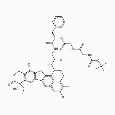 CC[C@@]1(O)C(=O)OCc2c1cc1n(c2=O)Cc2c-1nc1cc(F)c(C)c3c1c2C(NC(=O)CNC(=O)[C@@H](Cc1ccccc1)NC(=O)CNC(=O)CNC(=O)OC(C)(C)C)CC3